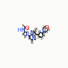 CC(=O)NC1CCN(c2cc(C)nn3c(-c4cccc(N5CCOCC5)c4)c(C)nc23)C1